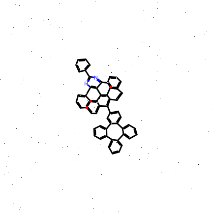 c1ccc(-c2nc(-c3ccccc3)c(-c3c4ccccc4c(-c4ccc5c(c4)-c4ccccc4-c4ccccc4-c4ccccc4-5)c4ccccc34)c(-c3ccccc3)n2)cc1